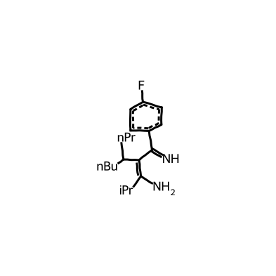 CCCCC(CCC)/C(C(=N)c1ccc(F)cc1)=C(/N)C(C)C